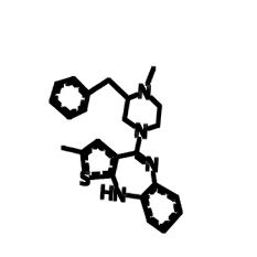 Cc1cc2c(s1)Nc1ccccc1N=C2N1CCN(C)C(Cc2ccccc2)C1